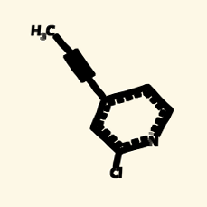 CC#Cc1ccnc(Cl)c1